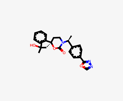 C[C@@H](c1ccc(-c2nnco2)cc1)N1CC[C@](CC(C)(C)O)(c2ccccc2)OC1=O